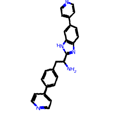 NC(Cc1ccc(-c2ccncc2)cc1)c1nc2ccc(-c3ccncc3)cc2[nH]1